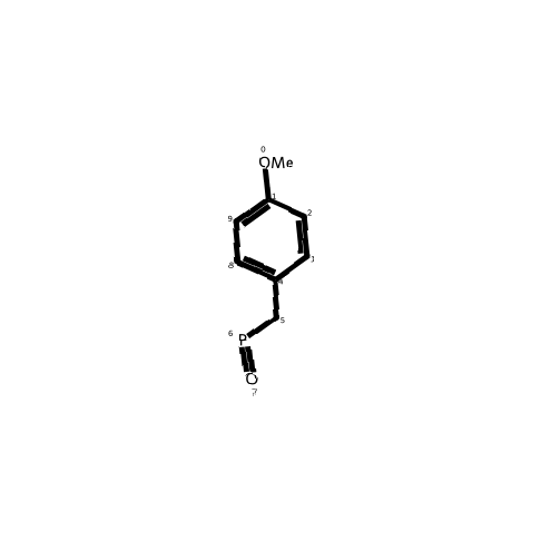 COc1ccc(CP=O)cc1